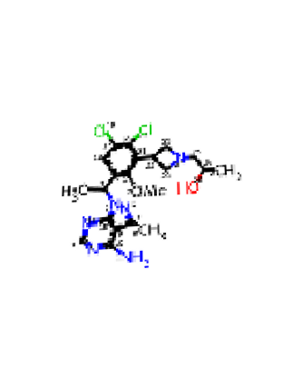 COc1c(C(C)n2nc(C)c3c(N)ncnc32)cc(Cl)c(Cl)c1C1CN(CC(C)O)C1